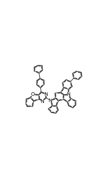 c1ccc(-c2ccc(-c3nc(-n4c5ccccc5c5c6c7ccccc7n7c8cc(-c9ccccc9)ccc8c(cc54)c67)nc4c3oc3ccccc34)cc2)cc1